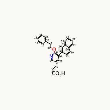 O=C(O)CCc1cnc(OCCc2ccccc2)c(-c2ccc3ccccc3c2)c1